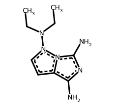 CCN(CC)n1ccc2c(N)nc(N)n21